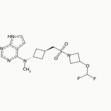 CN(c1ncnc2[nH]ccc12)[C@H]1C[C@H](CS(=O)(=O)N2CC(OC(F)F)C2)C1